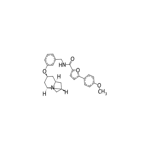 COc1ccc(-c2ccc(C(=O)NCc3cccc(O[C@H]4C[C@H]5C[C@@H]6CN5[C@@H]6C4)c3)o2)cc1